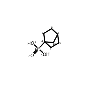 O=P(O)(O)C12CCC(CC1)C2